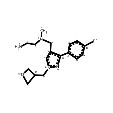 CN(CCN)Cc1cn(CC2COC2)nc1-c1ccc(F)cc1